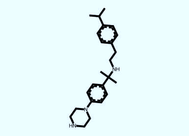 CC(C)c1ccc(CCNC(C)(C)c2ccc(N3CCNCC3)cc2)cc1